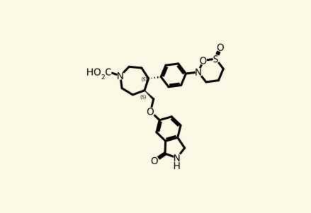 O=C1NCc2ccc(OC[C@H]3CCN(C(=O)O)CC[C@@H]3c3ccc(N4CCCS(=O)O4)cc3)cc21